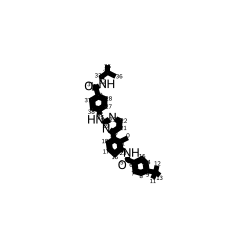 Cc1c(NC(=O)c2ccc(C(C)(C)C)cc2)cccc1-c1ccnc(Nc2ccc(C(=O)NCC(C)C)cc2)n1